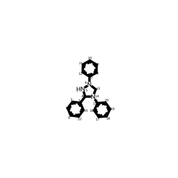 c1ccc(C2NN(c3ccccc3)CN2c2ccccc2)cc1